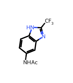 CC(=O)Nc1ccc2[nH]c(C(F)(F)F)nc2c1